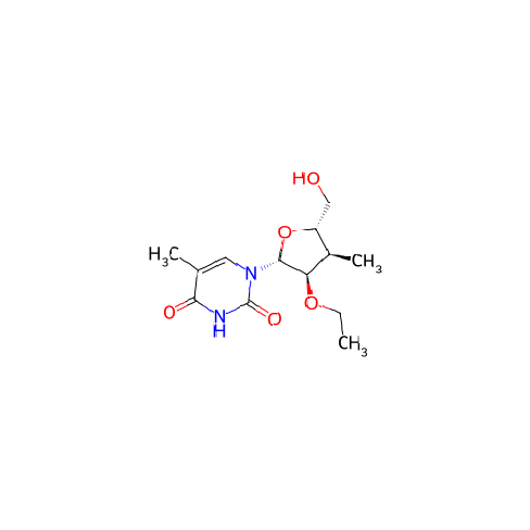 CCO[C@@H]1[C@H](C)[C@@H](CO)O[C@H]1n1cc(C)c(=O)[nH]c1=O